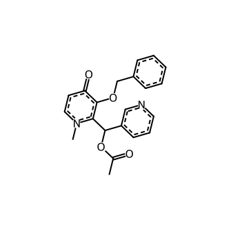 CC(=O)OC(c1cccnc1)c1c(OCc2ccccc2)c(=O)ccn1C